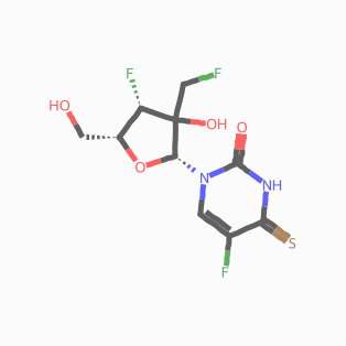 O=c1[nH]c(=S)c(F)cn1[C@@H]1O[C@H](CO)[C@H](F)C1(O)CF